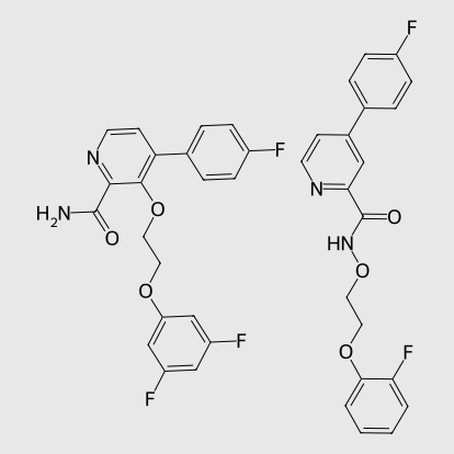 NC(=O)c1nccc(-c2ccc(F)cc2)c1OCCOc1cc(F)cc(F)c1.O=C(NOCCOc1ccccc1F)c1cc(-c2ccc(F)cc2)ccn1